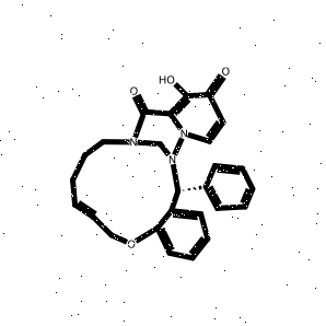 O=C1c2c(O)c(=O)ccn2N2CN1CCC/C=C/COc1ccccc1[C@H]2c1ccccc1